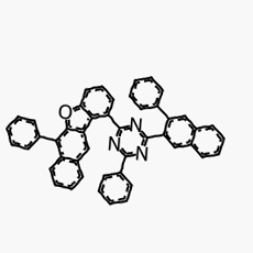 c1ccc(-c2nc(-c3cc4ccccc4cc3-c3ccccc3)nc(-c3cccc4oc5c(-c6ccccc6)c6ccccc6cc5c34)n2)cc1